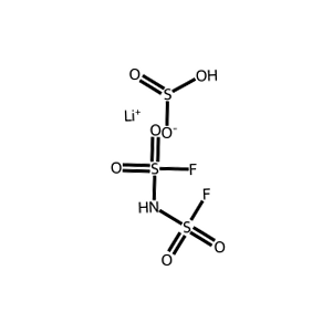 O=S(=O)(F)NS(=O)(=O)F.O=S([O-])O.[Li+]